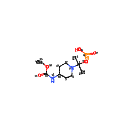 CCC(CC)(O[PH](=O)O)N1CCC(NC(=O)OC(C)(C)C)CC1